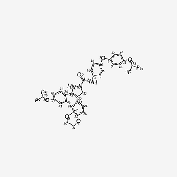 O=C(Nc1ccc(Oc2ccc(OC(F)F)cc2)cc1)N1CC(c2ccc3c(c2)OCCO3)=C(c2ccc(OC(F)F)cc2)N1